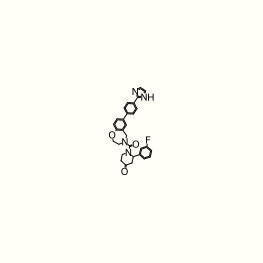 O=C1CCN(C(=O)N2CCOc3ccc(-c4ccc(-c5ncc[nH]5)cc4)cc3C2)C(c2cccc(F)c2)C1